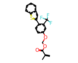 C=C(C)C(=O)OCOc1ccc(-c2cc3ccccc3s2)c(C(F)(F)F)c1